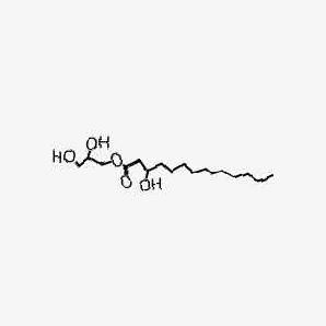 CCCCCCCCCCCC(O)CC(=O)OCC(O)CO